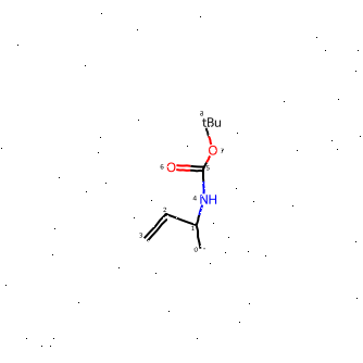 [CH2]C(C=C)NC(=O)OC(C)(C)C